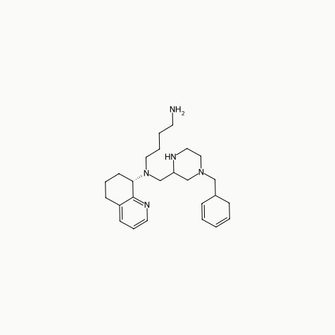 NCCCCN(CC1CN(CC2C=CC=CC2)CCN1)[C@H]1CCCc2cccnc21